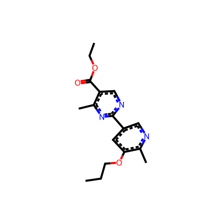 CCCOc1cc(-c2ncc(C(=O)OCC)c(C)n2)cnc1C